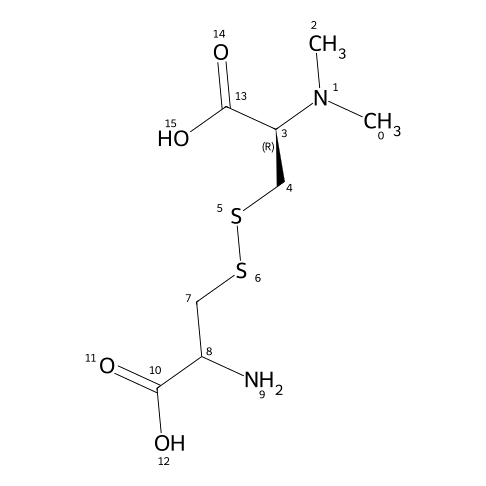 CN(C)[C@@H](CSSCC(N)C(=O)O)C(=O)O